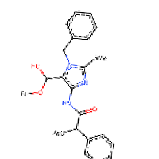 CCOC(O)c1c(NC(=O)C(OC(C)=O)c2ccccc2)nc(SC)n1Cc1ccccc1